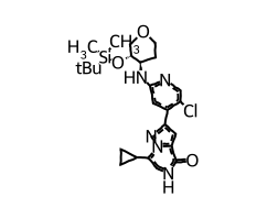 CC(C)(C)[Si](C)(C)O[C@@H]1COCC[C@H]1Nc1cc(-c2cc3c(=O)[nH]cc(C4CC4)n3n2)c(Cl)cn1